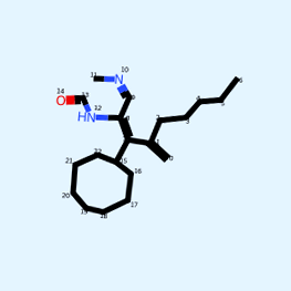 C=C(CCCCC)/C(=C(\C=N/C)NC=O)C1CCCCCCC1